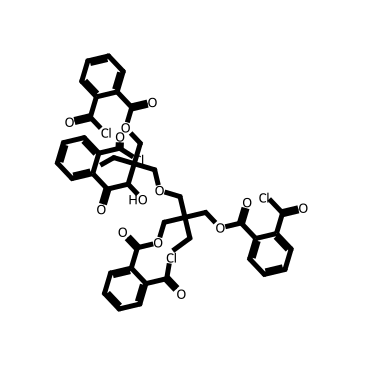 CCC(COCC(CC)(COC(=O)c1ccccc1C(=O)Cl)C(O)C(=O)c1ccccc1C(=O)Cl)(COC(=O)c1ccccc1C(=O)Cl)COC(=O)c1ccccc1C(=O)Cl